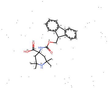 CC1(C)CC(NC(=O)OCC2c3ccccc3-c3ccccc32)(C(=O)O)CC(C)(C)N1